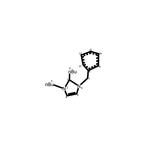 CCCCC1N(CCCC)C=CN1Cc1ccccc1